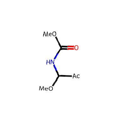 COC(=O)NC(OC)C(C)=O